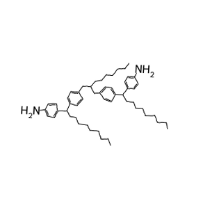 CCCCCCCCCC(c1ccc(N)cc1)c1ccc(CC(CCCCCCC)Cc2ccc(C(CCCCCCCCC)c3ccc(N)cc3)cc2)cc1